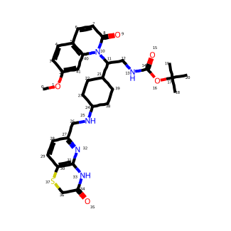 COc1ccc2ccc(=O)n(C(CNC(=O)OC(C)(C)C)C3CCC(NCc4ccc5c(n4)NC(=O)CS5)CC3)c2c1